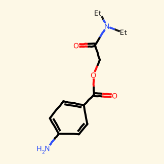 CCN(CC)C(=O)COC(=O)c1ccc(N)cc1